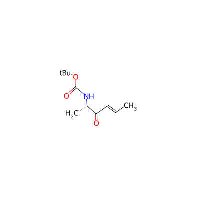 C/C=C/C(=O)[C@H](C)NC(=O)OC(C)(C)C